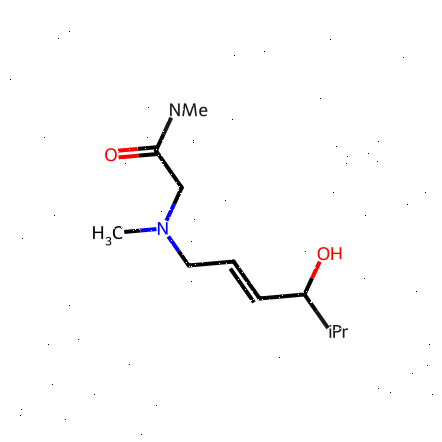 CNC(=O)CN(C)C/C=C/C(O)C(C)C